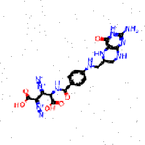 [N-]=[N+]=C(C(=O)O)C(=[N+]=[N-])C(NC(=O)c1ccc(NCC2CNc3nc(N)[nH]c(=O)c3N2)cc1)C(=O)O